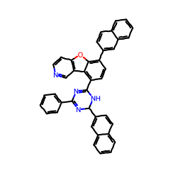 c1ccc(C2=NC(c3ccc4ccccc4c3)NC(c3ccc(-c4ccc5ccccc5c4)c4oc5ccncc5c34)=N2)cc1